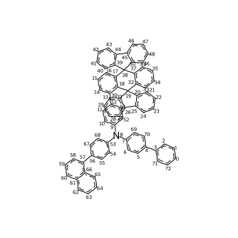 c1ccc(-c2ccc(N(c3ccc(-c4cccc5c4C4(c6ccccc6-c6ccccc64)c4ccccc4C54c5ccccc5-c5ccccc54)cc3)c3ccc(-c4cccc5ccccc45)cc3)cc2)cc1